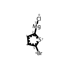 [Cl][Mg][c]1ccc(Br)s1